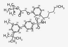 CCCCCC(NS(=O)(=O)c1ccc(-c2cc(C)cc(C(C)(C)C)c2)cn1)c1cccc(OCC(=O)OC(C)(C)C)c1